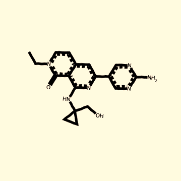 CCn1ccc2cc(-c3cnc(N)nc3)nc(NC3(CO)CC3)c2c1=O